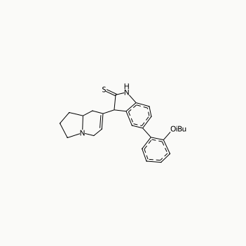 CC(C)COc1ccccc1-c1ccc2c(c1)C(C1=CCN3CCCC3C1)C(=S)N2